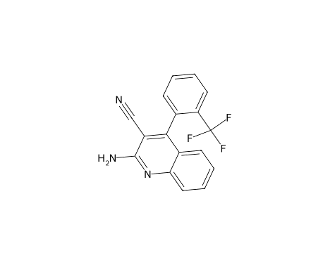 N#Cc1c(N)nc2ccccc2c1-c1ccccc1C(F)(F)F